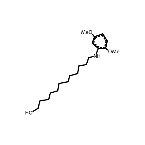 COc1ccc(OC)c(NCCCCCCCCCCCCO)c1